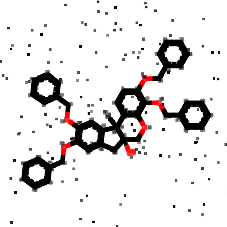 O[C@]12COc3c(ccc(OCc4ccccc4)c3OCc3ccccc3)[C@H]1c1cc(OCc3ccccc3)c(OCc3ccccc3)cc1C2